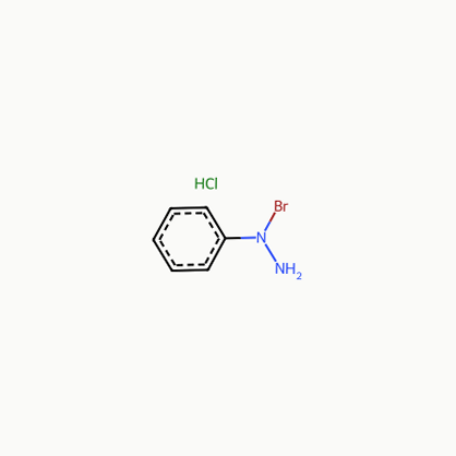 Cl.NN(Br)c1ccccc1